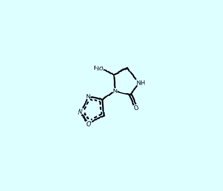 O=C1NCC(O)N1c1conn1